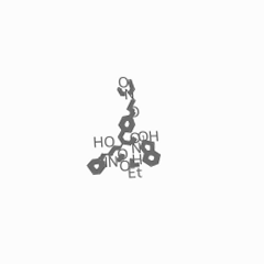 CCC(C)(C)OC(=O)N[C@@H](Cc1ccccc1)[C@@H](O)C[C@@H](Cc1ccc(OCCN2CCOCC2)cc1)C(=O)N[C@H]1c2ccccc2C[C@H]1O